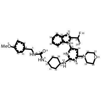 COc1ccc(CNC(=O)N[C@H]2CC[C@H](Nc3nc(N4CCOCC4)cc(-n4c(C(F)F)nc5ccccc54)n3)CC2)cc1